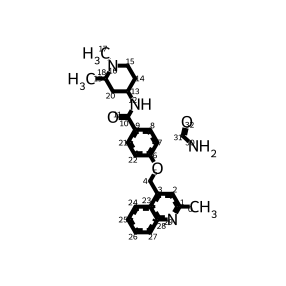 Cc1cc(COc2ccc(C(=O)NC3CCN(C)C(C)C3)cc2)c2ccccc2n1.NC=O